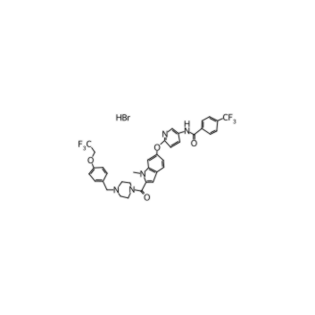 Br.Cn1c(C(=O)N2CCN(Cc3ccc(OCC(F)(F)F)cc3)CC2)cc2ccc(Oc3ccc(NC(=O)c4ccc(C(F)(F)F)cc4)cn3)cc21